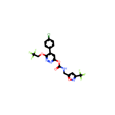 O=C(NCc1cc(C(F)(F)F)no1)Oc1cc(-c2ccc(Cl)cc2)c(OCC(F)(F)F)nn1